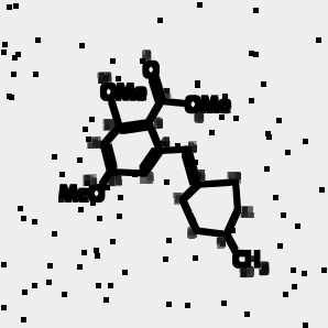 COC(=O)c1c(C=C2CCC(C)CC2)cc(OC)cc1OC